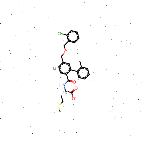 CSCC[C@H](NC(=O)c1ccc(COCc2ccccc2Cl)cc1-c1ccccc1C)C(=O)[O-].[Li+]